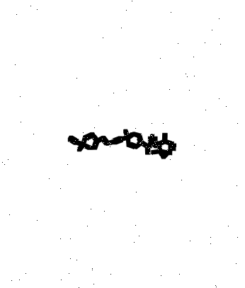 C#CC1(C)C=CC(C=CC#CC2(C)C=CC(C(=C)N(C)C(C(=C)C)C3(C)CC3F)=CC2)=CC1